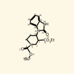 CCOC(=O)C1CN(C(=O)OC(C)(C)C)CCC1n1c(=O)[nH]c2ccccc21